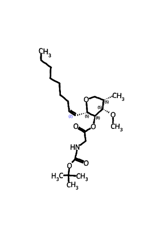 CCCCCCC/C=C\[C@@H]1OC[C@H](C)[C@H](OC)[C@H]1OC(=O)CNC(=O)OC(C)(C)C